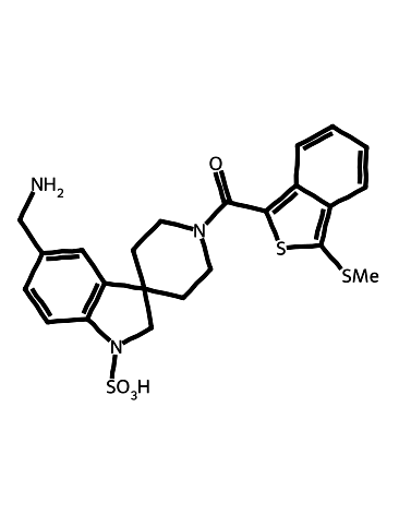 CSc1sc(C(=O)N2CCC3(CC2)CN(S(=O)(=O)O)c2ccc(CN)cc23)c2ccccc12